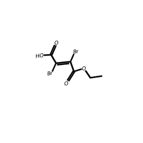 CCOC(=O)C(Br)=C(Br)C(=O)O